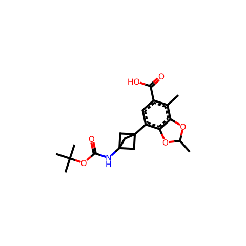 Cc1c(C(=O)O)cc(C23CC(NC(=O)OC(C)(C)C)(C2)C3)c2c1OC(C)O2